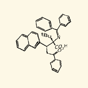 CC(C)(C)[C@@](N=C(c1ccccc1)c1ccccc1)(C(=O)O)[C@@H](CC(=O)c1ccccc1)c1ccc2ccccc2c1